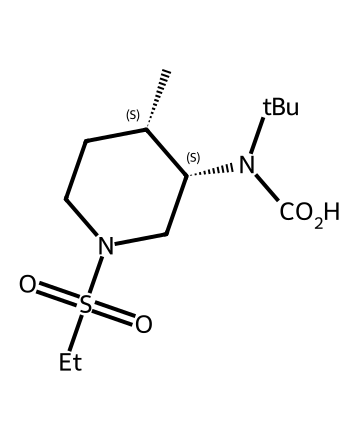 CCS(=O)(=O)N1CC[C@H](C)[C@H](N(C(=O)O)C(C)(C)C)C1